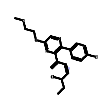 C=C(/C=C\C(Cl)CC)c1nc(OCCOC)cnc1-c1ccc(Cl)cc1